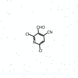 N#Cc1cc(Cl)nc(Cl)c1C=O